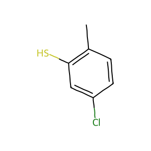 Cc1ccc(Cl)cc1S